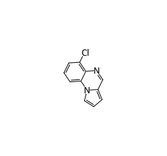 Clc1cccc2c1ncc1cccn12